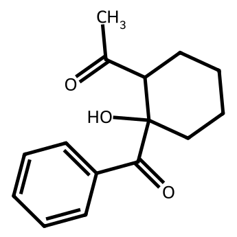 CC(=O)C1CCCCC1(O)C(=O)c1ccccc1